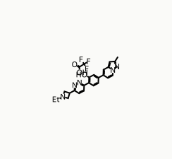 CCN1CC(c2ccc(-c3ccc(-c4ccn5nc(C)cc5c4)cc3O)nn2)C1.O=C(O)C(F)(F)F